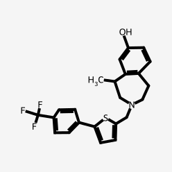 CC1CN(Cc2ccc(-c3ccc(C(F)(F)F)cc3)s2)CCc2ccc(O)cc21